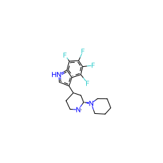 Fc1c(F)c(F)c2c(C3CC[N][C@H](N4CCCCC4)C3)c[nH]c2c1F